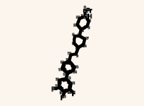 CCC[SiH]1CCC(C2CCC(CCc3ccc(-c4cc(F)c(F)c(F)c4)cc3)CC2)CC1